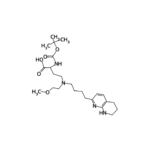 COCCN(CCCCc1ccc2c(n1)NCCC2)CCC(NC(=O)OC(C)(C)C)C(=O)O